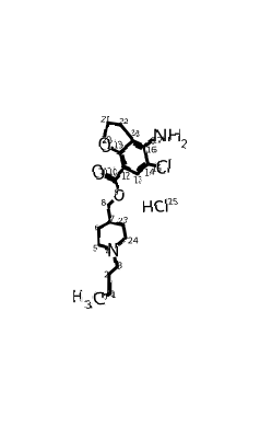 CCCCN1CCC(COC(=O)c2cc(Cl)c(N)c3c2OCC3)CC1.Cl